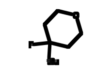 CC(C)(C)C1(F)CCOCC1